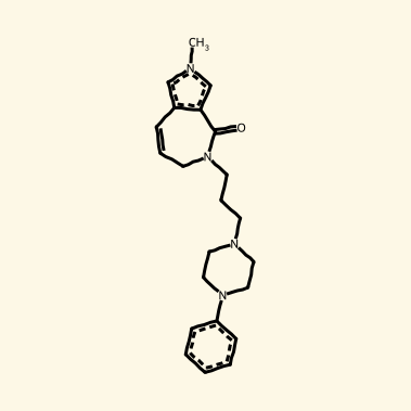 Cn1cc2c(c1)C(=O)N(CCCN1CCN(c3ccccc3)CC1)CC=C2